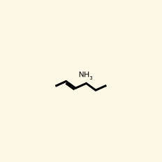 CC=CCCC.N